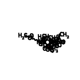 C=CCOC(=O)CCCCCNC(=O)O[C@H]1CC2OC[C@@]2(OC(C)=O)C2[C@H](OC(=O)c3ccccc3)[C@]3(O)C[C@H](OC(=O)[C@H](OC(=O)OCC=C)[C@H](NC(=O)c4ccccc4)c4ccccc4)C(C)=C(C(OC(C)=O)C(=O)[C@@]21C)C3(C)C